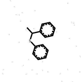 CC(Sc1ccccc1)c1ccccc1